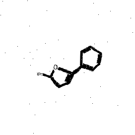 CC(C)c1ccc(-c2ccccc2)o1